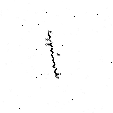 NCCNOC(=O)CCCCCCCCCCC(=O)O.[Zn]